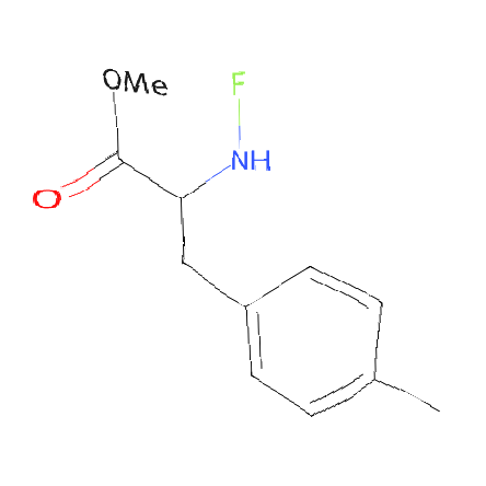 COC(=O)C(Cc1ccc(C)cc1)NF